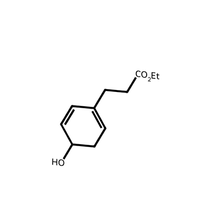 CCOC(=O)CCC1=CCC(O)C=C1